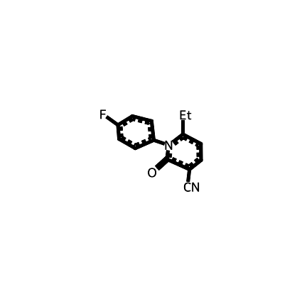 CCc1ccc(C#N)c(=O)n1-c1ccc(F)cc1